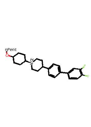 CCCCCOC1CCC([SiH]2CCC(c3ccc(-c4ccc(F)c(F)c4)cc3)CC2)CC1